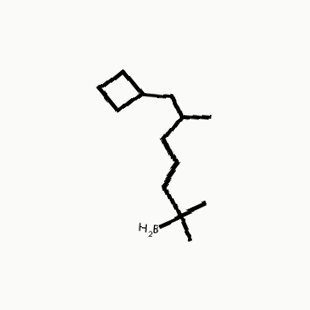 BC(C)(C)CCCC(C)CC1CCC1